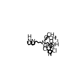 CC(C)OCCN(CCCCc1ccc2c(n1)NCCC2)CCC(NC(=O)c1c(Cl)cncc1Cl)C(=O)O